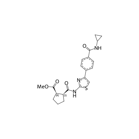 COC(=O)[C@@H]1CCC[C@@H]1C(=O)Nc1nc(-c2ccc(C(=O)NC3CC3)cc2)cs1